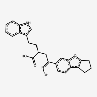 O=C(O)[C@@H](CCc1c[nH]c2ccccc12)CC(=NO)c1ccc2c3c(oc2c1)CCC3